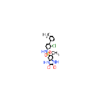 Cc1cccc(-c2ccc(NS(=O)(=O)c3cc4[nH]c(=O)c(=O)[nH]c4cc3C)cc2Cl)c1